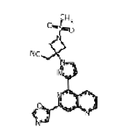 CS(=O)(=O)N1CC(CC#N)(n2ccc(-c3nc(-c4cnco4)cc4ncccc34)n2)C1